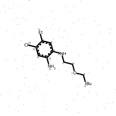 CCc1cc(NCCOCC(C)(C)C)c(N)cc1Cl